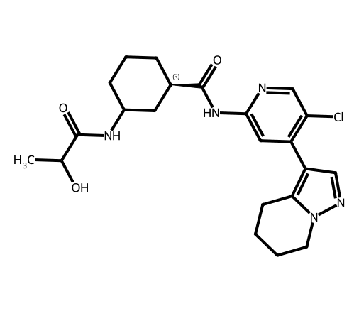 CC(O)C(=O)NC1CCC[C@@H](C(=O)Nc2cc(-c3cnn4c3CCCC4)c(Cl)cn2)C1